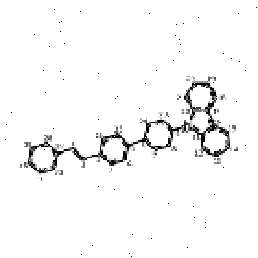 C(=Cc1ccc(-c2ccc(-n3c4ccccc4c4ccccc43)cc2)cc1)c1ccccc1